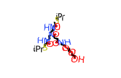 CC(C)SCC(=O)NCCN(CCNC(=O)CSC(C)C)C(=O)CCC(=O)NCCOCCOCCO